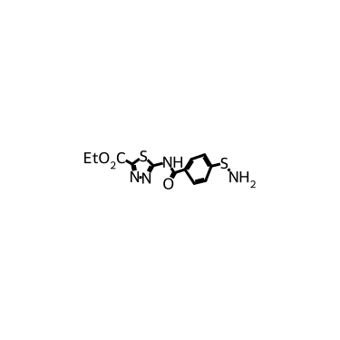 CCOC(=O)c1nnc(NC(=O)c2ccc(SN)cc2)s1